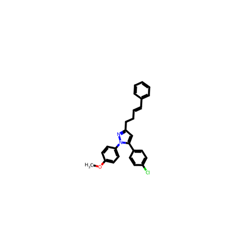 COc1ccc(-n2nc(CCC=Cc3ccccc3)cc2-c2ccc(Cl)cc2)cc1